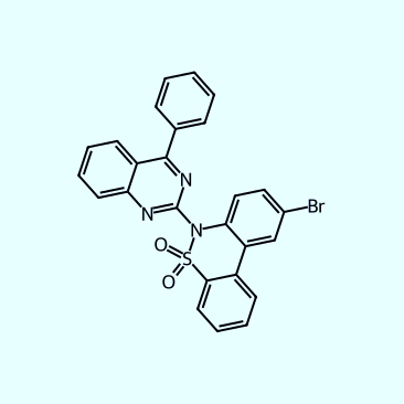 O=S1(=O)c2ccccc2-c2cc(Br)ccc2N1c1nc(-c2ccccc2)c2ccccc2n1